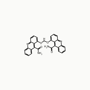 NC(=O)c1c2ccccc2nc2cccc(OBOc3cccc4nc5ccccc5c(C(N)=O)c34)c12